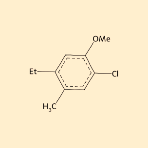 CCc1cc(OC)c(Cl)cc1C